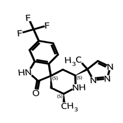 C[C@H]1C[C@@]2(C[C@@H](C3(C)C=NN=N3)N1)C(=O)Nc1cc(C(F)(F)F)ccc12